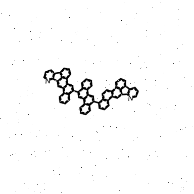 c1cnc2c(c1)-c1cccc3c1c-2cc1c2cccc(-c4cc5c6ccccc6c(-c6cc7c8cccc9c8c(cc7c7ccccc67)-c6ncccc6-9)cc5c5ccccc45)c2ccc31